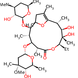 CC[C@H]1OC(=O)[C@H](C)[C@@H](O[C@H]2C[C@@](C)(OC)[C@@H](O)[C@H](C)O2)[C@H](C)[C@@H](O[C@@H]2O[C@H](C)C[C@H](NC)[C@H]2O)[C@]2(C)CC(C)=C(O2)[C@H](C)[C@@H](O)[C@]1(C)O